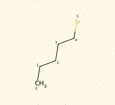 C[CH]CCC[S]